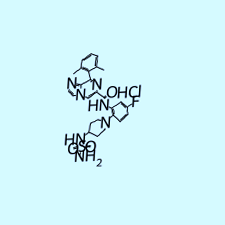 Cc1cccc(C)c1-c1nc(C(=O)Nc2cc(F)ccc2N2CCC(NS(N)(=O)=O)CC2)cn2ccnc12.Cl